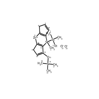 CC[Si](C)(C)[Si]1(C)C2=[C](CC=C2)[Zr+2][C]2=C1C(O[Si](C)(C)C)=CC2.[Cl-].[Cl-]